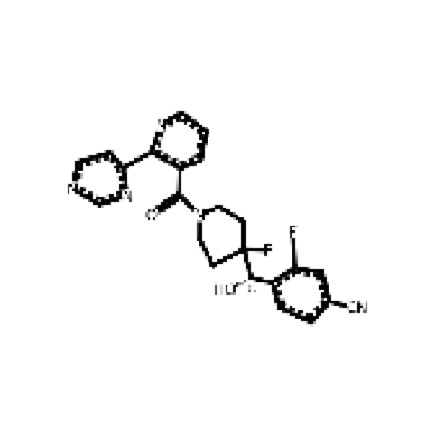 N#Cc1ccc([C@H](O)C2(F)CCN(C(=O)c3cccnc3-c3ccncn3)CC2)c(F)c1